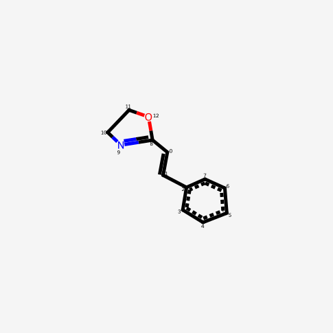 C(=Cc1ccccc1)C1=NCCO1